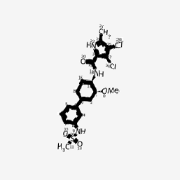 CO[C@@H]1C=C(c2cccc(NS(C)(=O)=O)c2)CC[C@H]1NC(=O)c1[nH]c(C)c(Cl)c1Cl